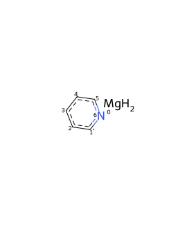 [MgH2].[c]1ccccn1